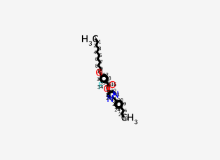 CCCCCCCCCCOc1ccc(C(=O)Oc2cnc(-c3ccc(CCC)cc3)nc2)c(F)c1